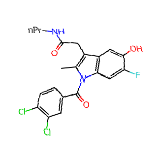 CCCNC(=O)Cc1c(C)n(C(=O)c2ccc(Cl)c(Cl)c2)c2cc(F)c(O)cc12